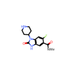 CNC(=O)c1cc2[nH]c(=O)n(C3CCNCC3)c2cc1F